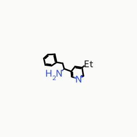 CCc1cncc([C@@H](N)Cc2ccccc2)c1